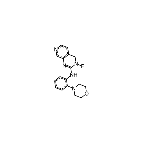 FN1Cc2ccncc2N=C1Nc1ccccc1N1CCOCC1